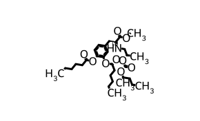 CCCCCC(=O)Oc1ccc(C[C@H](NCC(C)OC(=O)OC(C)CCC)C(=O)OC)cc1OC(=O)CCCCC